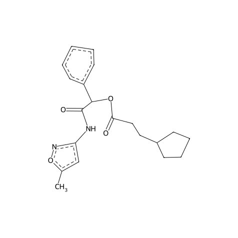 Cc1cc(NC(=O)C(OC(=O)CCC2CCCC2)c2ccccc2)no1